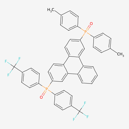 Cc1ccc(P(=O)(c2ccc(C)cc2)c2ccc3c4ccc(P(=O)(c5ccc(C(F)(F)F)cc5)c5ccc(C(F)(F)F)cc5)cc4c4ccccc4c3c2)cc1